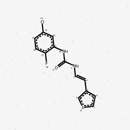 O=C(N/C=C/c1ccsc1)Nc1cc(Cl)ccc1F